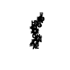 CC(=O)N1Cc2ncnc(Oc3ccc4c(ccn4C(=O)Nc4cc(C)on4)c3)c2CC1C